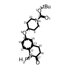 CC(C)(C)OC(=O)N1CCC(Oc2ccc3c(c2)CCC(=O)N3P)CC1